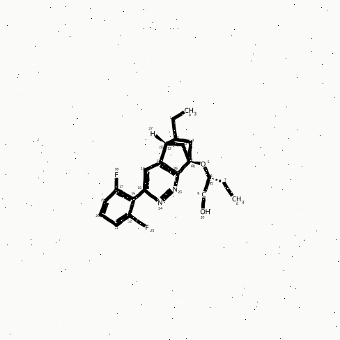 CCC1C[C@@]2(O[C@H](CC)CO)C[C@@H]1c1cc(-c3c(F)cccc3F)nnc12